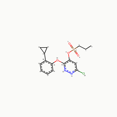 CCCS(=O)(=O)Oc1cc(Cl)nnc1Oc1ccccc1C1CC1